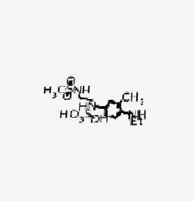 CCNc1ccc(NCCNS(C)(=O)=O)cc1C.O=S(=O)(O)O